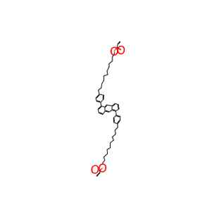 C=CC(=O)OCCCCCCCCCCCCc1ccc(-c2cccc3cc4c(-c5ccc(CCCCCCCCCCCCOC(=O)C=C)cc5)cccc4cc23)cc1